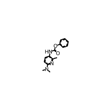 Cc1nc(N(C)C)ccc1NC(=O)Oc1ccccc1